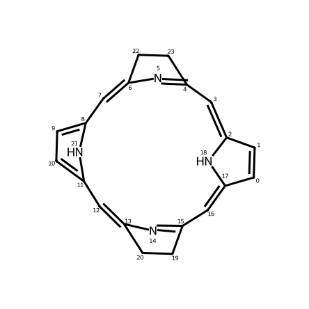 c1cc2cc3nc(cc4ccc(cc5nc(cc1[nH]2)CC5)[nH]4)CC3